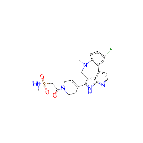 CNS(=O)(=O)CC(=O)N1CC=C(c2[nH]c3nccc4c3c2CN(C)c2ccc(F)cc2-4)CC1